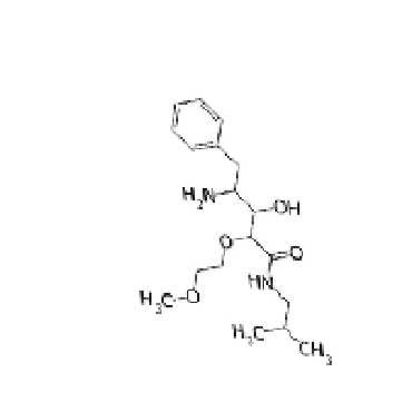 COCCOC(C(=O)NCC(C)C)C(O)C(N)Cc1ccccc1